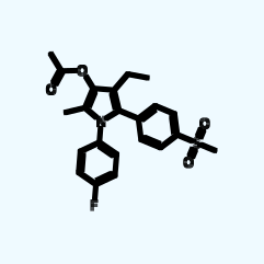 CCc1c(OC(C)=O)c(C)n(-c2ccc(F)cc2)c1-c1ccc(S(C)(=O)=O)cc1